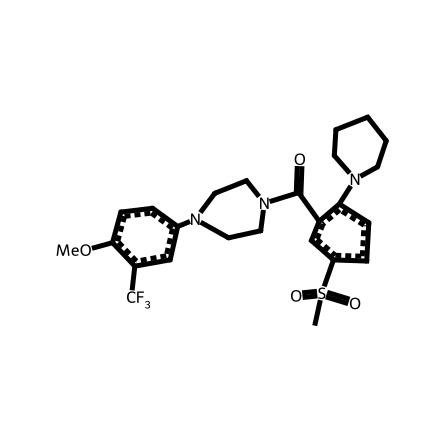 COc1ccc(N2CCN(C(=O)c3cc(S(C)(=O)=O)ccc3N3CCCCC3)CC2)cc1C(F)(F)F